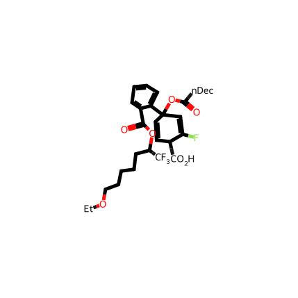 CCCCCCCCCCC(=O)OC1(c2ccccc2C(=O)OC(CCCCCOCC)C(F)(F)F)C=CC(C(=O)O)C(F)=C1